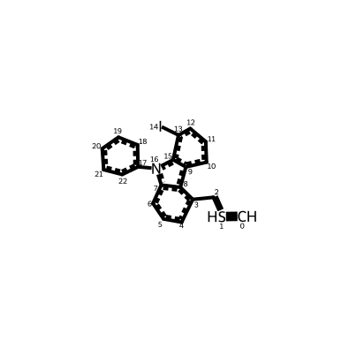 C#[SH]=Cc1cccc2c1c1cccc(I)c1n2-c1ccccc1